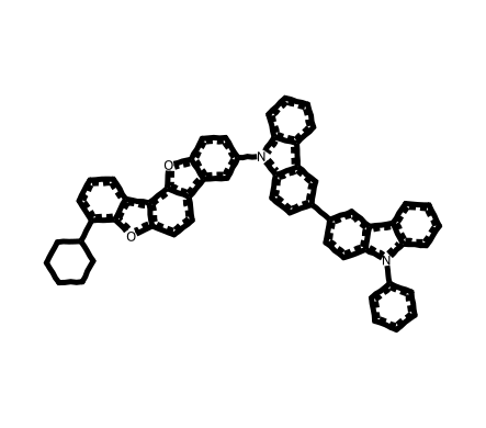 c1ccc(-n2c3ccccc3c3cc(-c4ccc5c(c4)c4ccccc4n5-c4ccc5oc6c(ccc7oc8c(C9CCCCC9)cccc8c76)c5c4)ccc32)cc1